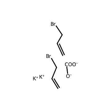 C=CCBr.C=CCBr.O=C([O-])[O-].[K+].[K+]